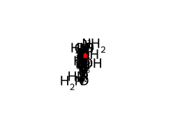 C[C@@H]1C[C@H]2[C@@H]3CCC4=C/C(=N\NC(N)=O)CC[C@]4(C)[C@H]3[C@@H](O)C[C@]2(C)[C@@]1(O)/C(CO)=N/NC(N)=O